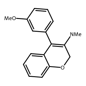 CNC1=C(c2cccc(OC)c2)c2ccccc2OC1